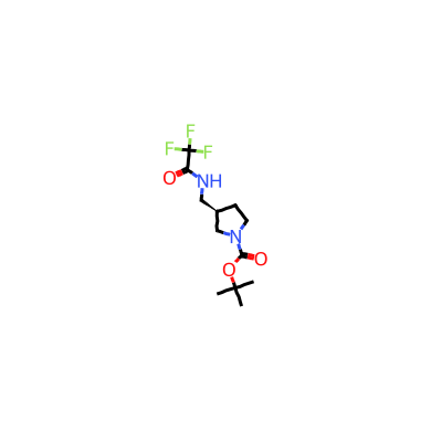 CC(C)(C)OC(=O)N1CC[C@H](CNC(=O)C(F)(F)F)C1